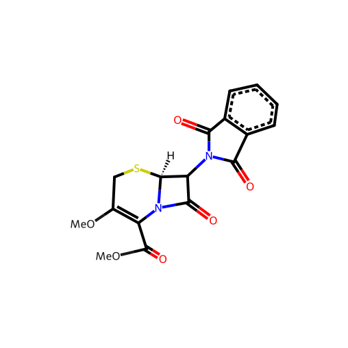 COC(=O)C1=C(OC)CS[C@H]2C(N3C(=O)c4ccccc4C3=O)C(=O)N12